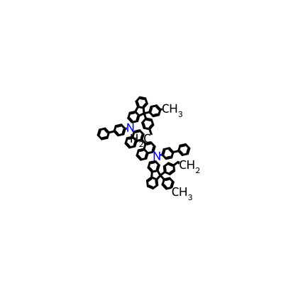 C=Cc1ccc(C2(c3ccc(C)cc3)c3ccccc3-c3ccc(N(c4ccc(-c5ccccc5)cc4)c4ccc(-c5ccc(N(c6ccc(-c7ccccc7)cc6)c6ccc7c(c6)C(c6ccc(C)cc6)(c6ccc(C=C)cc6)c6ccccc6-7)c6ccccc56)c5ccccc45)cc32)cc1